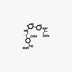 CNC(=O)c1ccc([C@H](C)CNc2cc(-c3ccc(NC(C)COC)nc3)ncn2)c(OC)c1